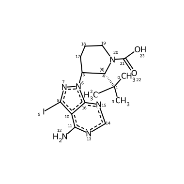 CC(C)(C)[C@@H]1C(n2nc(I)c3c(N)ncnc32)CCCN1C(=O)O